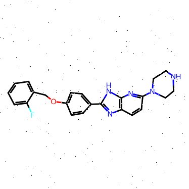 Fc1ccccc1COc1ccc(-c2nc3ccc(N4CCNCC4)nc3[nH]2)cc1